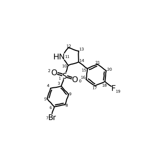 O=S(=O)(c1ccc(Br)cc1)C1NCCC1c1ccc(F)cc1